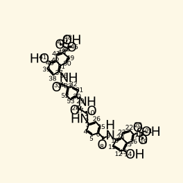 O=C(Nc1ccc(C(=O)Nc2ccc(O)c3cc(S(=O)(=O)O)ccc23)cc1)C(=O)Nc1ccc(C(=O)Nc2ccc(O)c3cc(S(=O)(=O)O)ccc23)cc1